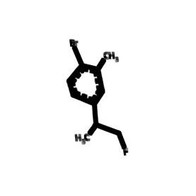 C[C](CF)c1ccc(Br)c(C)c1